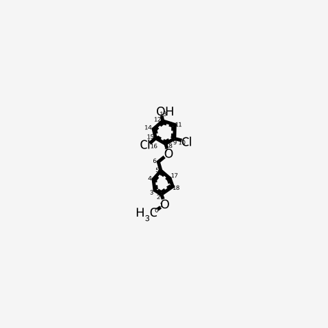 COc1ccc(COc2c(Cl)cc(O)cc2Cl)cc1